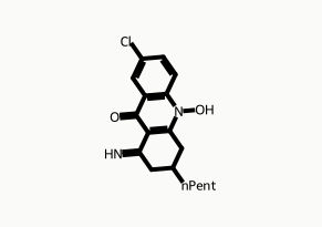 CCCCCC1CC(=N)c2c(n(O)c3ccc(Cl)cc3c2=O)C1